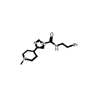 CC(C)CCNC(=O)n1cnc(C2CCN(C)CC2)c1